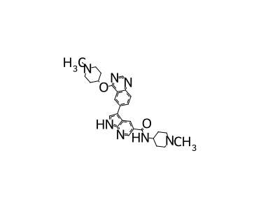 CN1CCC(NC(=O)c2cnc3[nH]cc(-c4ccc5ncnc(OC6CCN(C)CC6)c5c4)c3c2)CC1